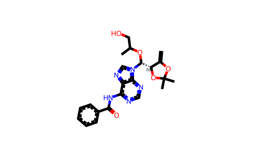 C=C1OC(C)(C)O[C@@H]1C(OC(C)CO)n1cnc2c(NC(=O)c3ccccc3)ncnc21